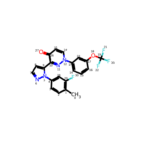 Cc1ccc(-n2nccc2-c2nn(-c3cccc(OC(F)(F)F)c3)ccc2=O)cc1F